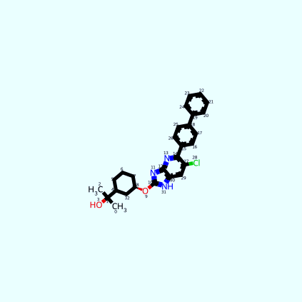 CC(C)(O)C1CCC[C@@H](Oc2nc3nc(-c4ccc(-c5ccccc5)cc4)c(Cl)cc3[nH]2)C1